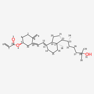 C=CC(=O)O[C@H]1CCC(=C)/C(=C\C=C2CCC[C@@]3(C)C2CC[C@@H]3[C@H](C)CCCC(C)(C)O)C1